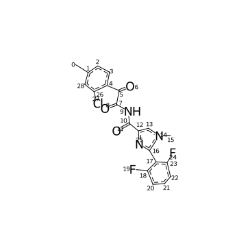 Cc1ccc(C(=O)C(=O)NC(=O)c2cn(C)c(-c3c(F)cccc3F)n2)c(Cl)c1